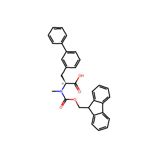 CN(C(=O)OCC1c2ccccc2-c2ccccc21)[C@@H](Cc1cccc(-c2ccccc2)c1)C(=O)O